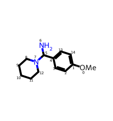 COc1ccc(C(N)N2CCCCC2)cc1